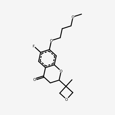 COCCCOc1cc2c(cc1F)C(=O)CC(C1(C)COC1)O2